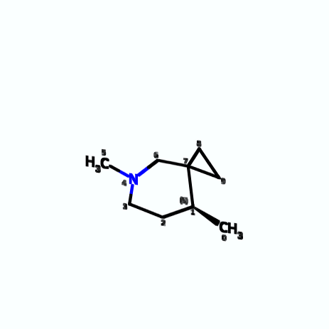 C[C@H]1CCN(C)CC12CC2